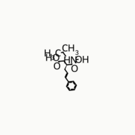 CC(C)C[C@@H](C(=O)O)[C@H](C/C=C/c1ccccc1)C(=O)NO